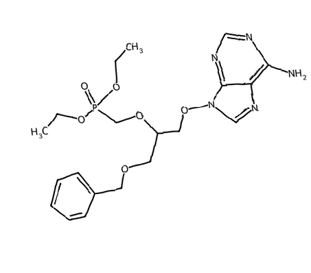 CCOP(=O)(COC(COCc1ccccc1)COn1cnc2c(N)ncnc21)OCC